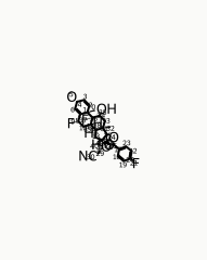 C[C@]12C=CC(=O)C=C1[C@@H](F)C[C@H]1[C@@H]3C[C@H]4OC(c5ccc(F)cc5)O[C@@]4(C(=O)SCC#N)[C@@]3(C)C[C@H](O)[C@@]12F